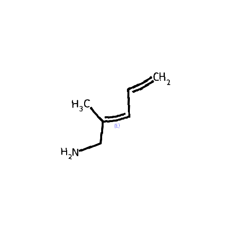 C=C/C=C(\C)CN